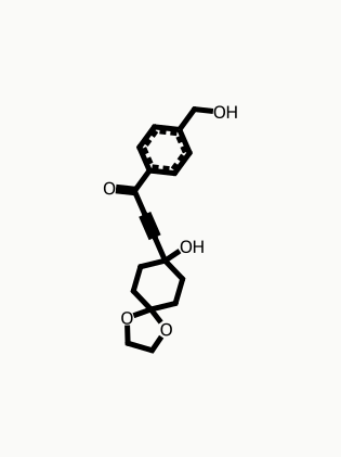 O=C(C#CC1(O)CCC2(CC1)OCCO2)c1ccc(CO)cc1